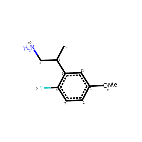 COc1ccc(F)c(C(C)CN)c1